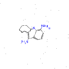 Nc1c2c(nc3c(N)cccc13)CCCC2